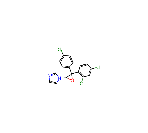 Clc1ccc(C2(c3ccc(Cl)cc3Cl)OC2n2ccnc2)cc1